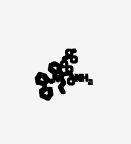 CCCc1c(C(=O)C(N)=O)c2c(OCC(=O)OC)cccc2n1Cc1ccccc1-c1ccccc1